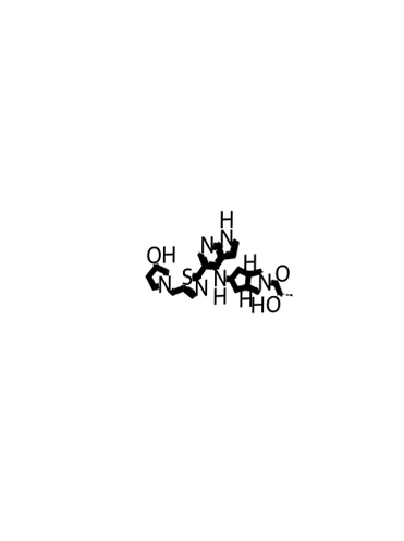 C[C@H](O)C(=O)N1C[C@H]2CC(Nc3c(-c4ncc(CN5CCC(O)C5)s4)cnc4[nH]ccc34)C[C@H]2C1